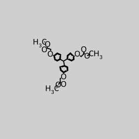 COC(=O)COc1ccc(C(c2ccc(OCC(=O)OC)cc2)c2ccc(OCC(=O)OC)cc2)cc1